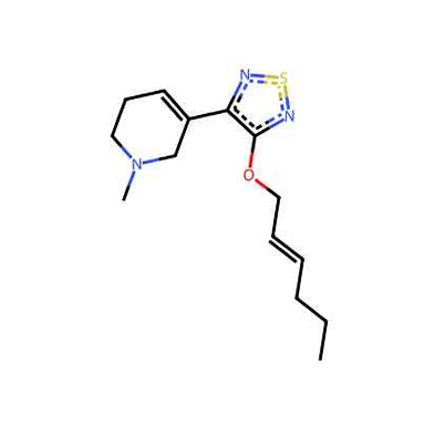 CCC/C=C/COc1nsnc1C1=CCCN(C)C1